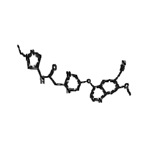 CCn1cc(NC(=O)Cc2ncc(Oc3ccnc4cc(OC)c(C#N)cc34)cn2)cn1